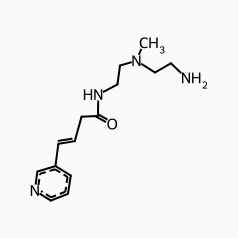 CN(CCN)CCNC(=O)CC=Cc1cccnc1